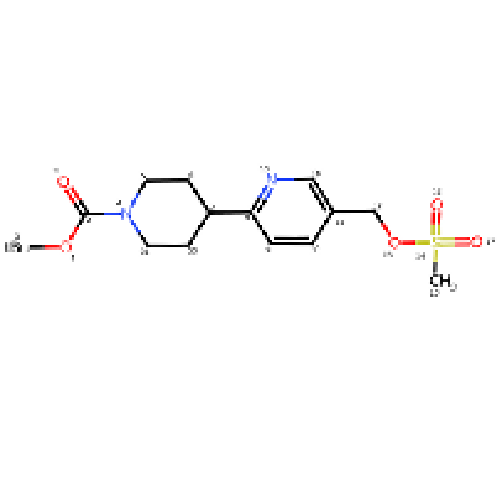 CC(C)(C)OC(=O)N1CCC(c2ccc(COS(C)(=O)=O)cn2)CC1